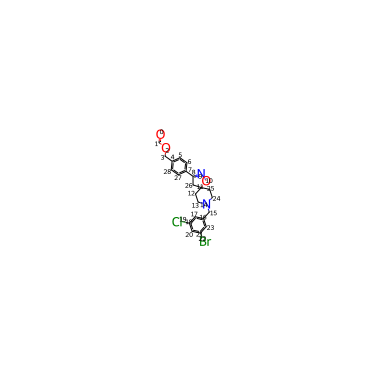 O=COCc1ccc(C2=NOC3(CCN(Cc4cc(Cl)cc(Br)c4)CC3)C2)cc1